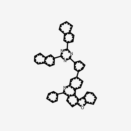 c1ccc(-c2nc3cc(-c4cccc(-c5nc(-c6ccc7ccccc7c6)nc(-c6ccc7ccccc7c6)n5)c4)ccc3c3c2ccc2oc4ccccc4c23)cc1